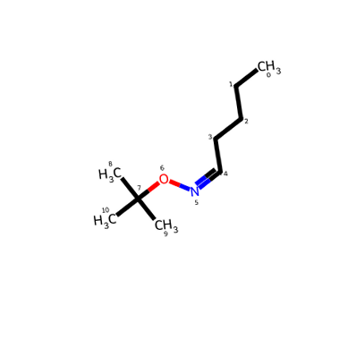 CCCC/[C]=N\OC(C)(C)C